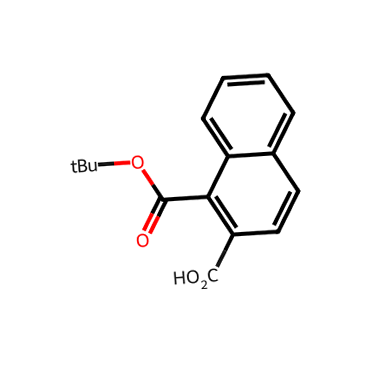 CC(C)(C)OC(=O)c1c(C(=O)O)ccc2ccccc12